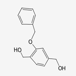 OCc1ccc(CO)c(OCc2ccccc2)c1